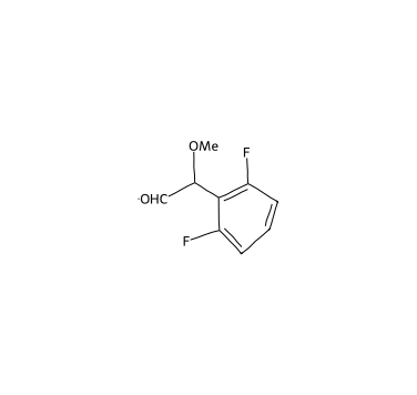 COC([C]=O)c1c(F)cccc1F